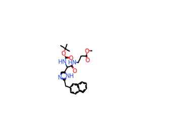 COC(=O)CCNC(=O)C(NC(=O)OC(C)(C)C)c1cnc(Cc2ccc3ccccc3c2)[nH]1